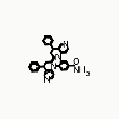 NC(=O)c1ccc2nc(CC(c3ccccc3)c3cccnc3)c(CC(c3ccccc3)c3cccnc3)nc2c1